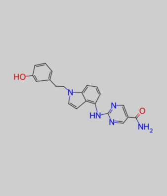 NC(=O)c1cnc(Nc2cccc3c2ccn3CCc2cccc(O)c2)nc1